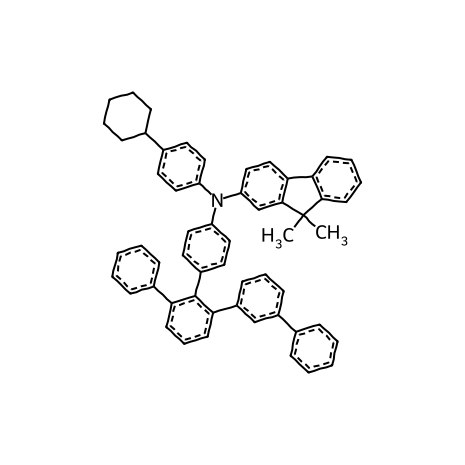 CC1(C)c2ccccc2-c2ccc(N(c3ccc(-c4c(-c5ccccc5)cccc4-c4cccc(-c5ccccc5)c4)cc3)c3ccc(C4CCCCC4)cc3)cc21